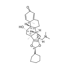 CN(C)CC(=O)[C@@]12O[C@H](C3CCCCC3)O[C@@H]1C[C@H]1[C@@H]3CCC4=CC(=O)C=C[C@]4(C)[C@H]3[C@@H](O)C[C@@]12C